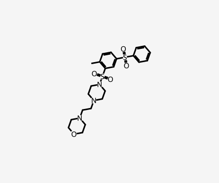 Cc1ccc(S(=O)(=O)c2ccccc2)cc1S(=O)(=O)N1CCN(CCN2CCOCC2)CC1